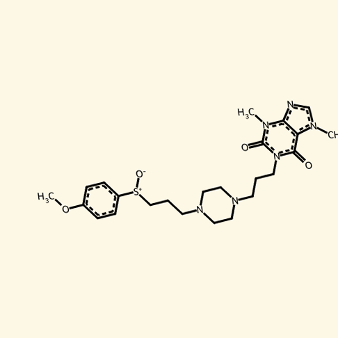 COc1ccc([S+]([O-])CCCN2CCN(CCCn3c(=O)c4c(ncn4C)n(C)c3=O)CC2)cc1